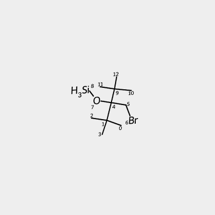 CC(C)(C)C(CBr)(O[SiH3])C(C)(C)C